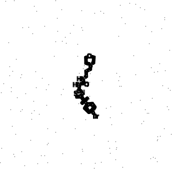 CC(C)(c1ccc(Br)cc1)c1csc(NC(=O)NCCCN2CCOCC2)n1